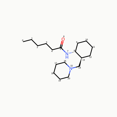 CCCCCC(=O)N[C@@H]1CCCC[C@H]1CN1CCCCC1